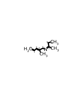 C=C/C=C(\C)C/N=C(/C)CC